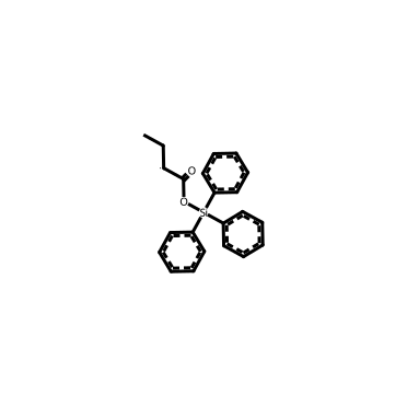 CC[CH]C(=O)O[Si](c1ccccc1)(c1ccccc1)c1ccccc1